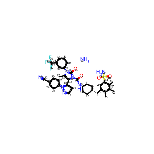 Cc1c(C[C@H]2CC[C@@H](NC(=O)n3c(-c4ccnn4-c4ccc(C#N)cc4)c(C)n(-c4cccc(C(F)(F)F)c4)c3=O)CC2)cc(S(N)(=O)=O)c(C)c1C.N